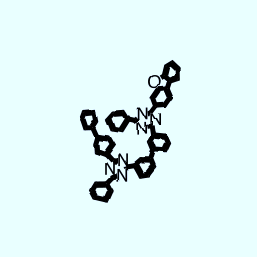 c1ccc(-c2ccc(-c3nc(-c4ccccc4)nc(-c4cccc(-c5cccc(-c6nc(-c7ccccc7)nc(-c7ccc8c(c7)oc7ccccc78)n6)c5)c4)n3)cc2)cc1